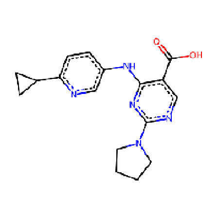 O=C(O)c1cnc(N2CCCC2)nc1Nc1ccc(C2CC2)nc1